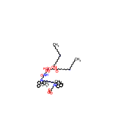 CCCCCCCC/C=C\CCCCCCCC(=O)OCC(COP(=O)(O)OCCNC(=O)CCN1/C(=C/C=C/C=C/C=C/C2=[N+](CCCCS(=O)(=O)[O-])c3ccc4ccccc4c3C2(C)C)C(C)(C)c2c1ccc1ccccc21)OC(=O)CCCCCCC/C=C\CCCCCCCC